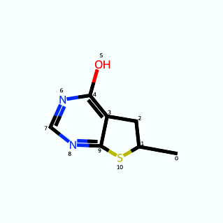 CC1Cc2c(O)ncnc2S1